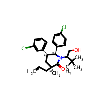 C=CC[C@@]1(C)C[C@H](c2cccc(Cl)c2)[C@@H](c2ccc(Cl)cc2)N(C(CO)C(C)(C)C)C1=O